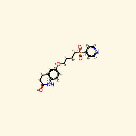 O=C1CCc2cc(OCCCCS(=O)(=O)c3ccncc3)ccc2N1